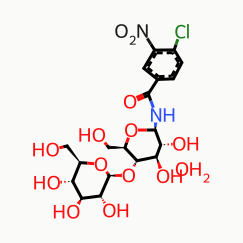 O.O=C(N[C@@H]1O[C@H](CO)[C@@H](O[C@@H]2O[C@H](CO)[C@@H](O)[C@H](O)[C@H]2O)[C@H](O)[C@H]1O)c1ccc(Cl)c([N+](=O)[O-])c1